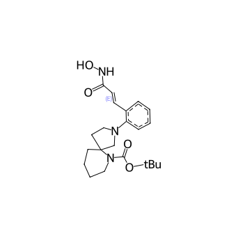 CC(C)(C)OC(=O)N1CCCCC12CCN(c1ccccc1/C=C/C(=O)NO)C2